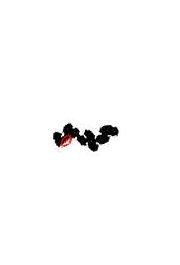 c1cc(-c2ccc3c4ccccc4c4c(oc5ccc6ccccc6c54)c3c2)cc(-c2c3ccccc3c(-c3cccc(-c4cccc5ccccc45)c3)c3ccccc23)c1